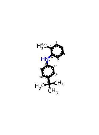 Cc1ccccc1Nc1ccc(C(C)(C)C)cc1